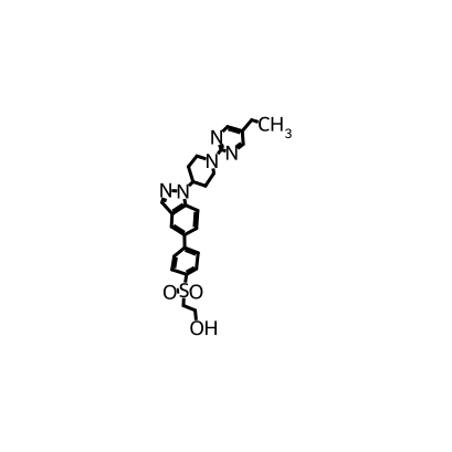 CCc1cnc(N2CCC(n3ncc4cc(-c5ccc(S(=O)(=O)CCO)cc5)ccc43)CC2)nc1